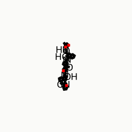 Cc1cccc(NOCc2cc3ccccc3c(N=Nc3ccc4c(c3)C(=O)c3cc(N=Nc5c(O)cc6c7c5cccc7c(=O)n5c7ccccc7nc65)ccc3-4)c2O)c1